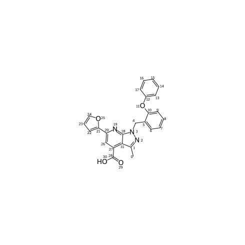 Cc1nn(Cc2ccccc2Oc2ccccc2)c2nc(-c3ccco3)cc(C(=O)O)c12